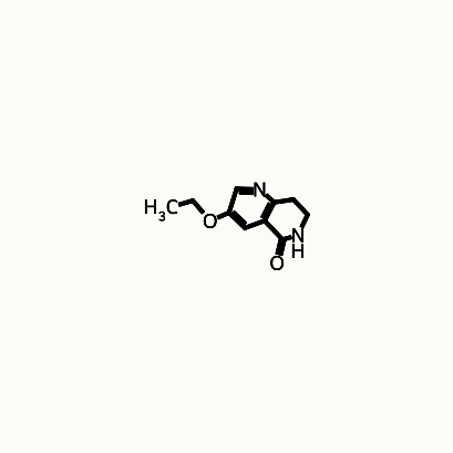 CCOc1cnc2c(c1)C(=O)NCC2